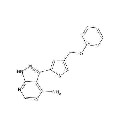 Nc1ncnc2[nH]nc(-c3cc(COc4ccccc4)cs3)c12